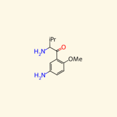 COc1ccc(N)cc1C(=O)C(N)C(C)C